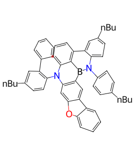 CCCCc1ccc(N2B3c4cc5c(cc4N(c4ccc(CCCC)cc4-c4ccccc4)c4cccc(c43)-c3cc(CCCC)ccc32)oc2ccccc25)cc1